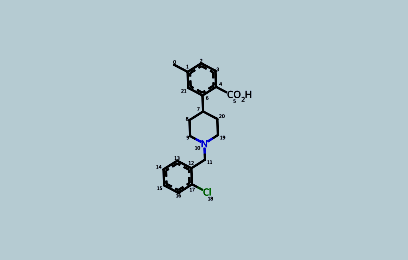 Cc1ccc(C(=O)O)c(C2CCN(Cc3ccccc3Cl)CC2)c1